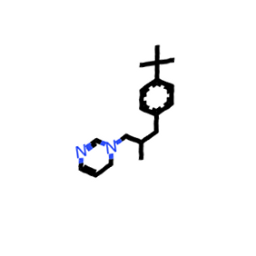 CC(Cc1ccc(C(C)(C)C)cc1)CN1C=NC=CC1